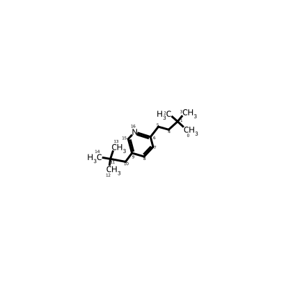 CC(C)(C)CCc1ccc(CC(C)(C)C)cn1